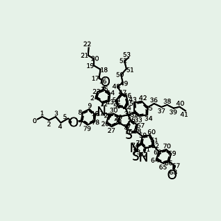 CCCCCCOc1ccc(N(c2ccc(OCCCCCC)cc2)c2ccc3c(c2)C(c2ccc(CCCCCC)cc2)(c2ccc(CCCCCC)cc2)c2cc(-c4ccc(-c5ccc(C=O)cc5)c5nsnc45)sc2-3)cc1